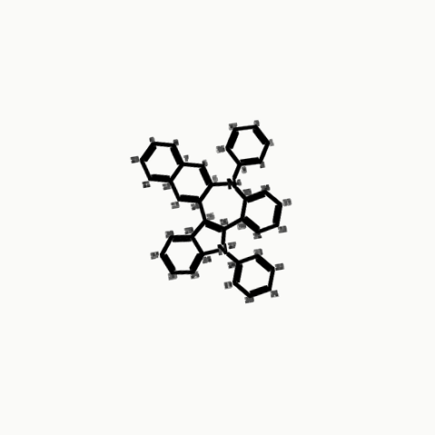 c1ccc(N2c3cc4ccccc4cc3-c3c(n(-c4ccccc4)c4ccccc34)-c3ccccc32)cc1